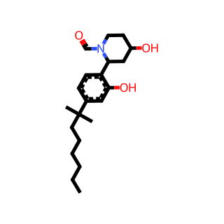 CCCCCCC(C)(C)c1ccc(C2CC(O)CCN2C=O)c(O)c1